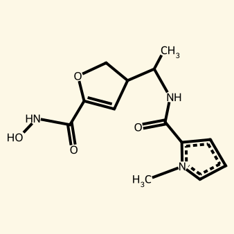 CC(NC(=O)c1cccn1C)C1C=C(C(=O)NO)OC1